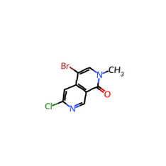 Cn1cc(Br)c2cc(Cl)ncc2c1=O